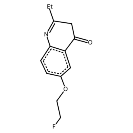 CCC1=Nc2ccc(OCCF)cc2C(=O)C1